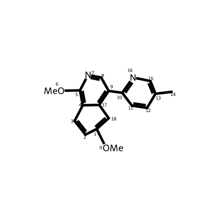 COc1ccc2c(OC)ncc(-c3ccc(C)cn3)c2c1